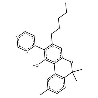 CCCCCc1cc2c(c(O)c1-c1ccncn1)-c1cc(C)ccc1C(C)(C)O2